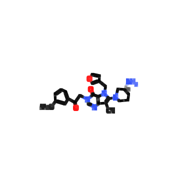 COc1cccc(C(=O)Cn2cnc3c(C#N)c(N4CCC[C@@H](N)C4)n(Cc4ccoc4)c3c2=O)c1